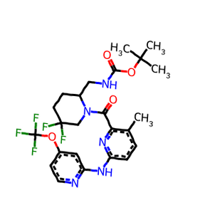 Cc1ccc(Nc2cc(OC(F)(F)F)ccn2)nc1C(=O)N1CC(F)(F)CCC1CNC(=O)OC(C)(C)C